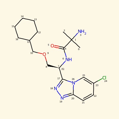 CC(C)(N)C(=O)N[C@H](COCC1CCCCC1)c1nnc2ccc(Cl)cn12